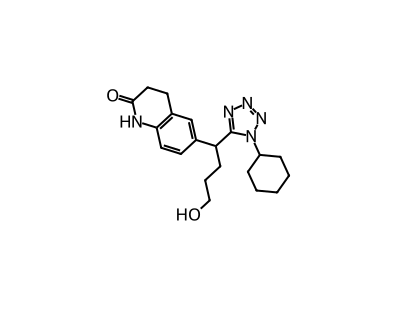 O=C1CCc2cc(C(CCCO)c3nnnn3C3CCCCC3)ccc2N1